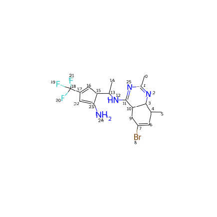 CC1=NC2C(C)C=C(Br)CC2C(NC(C)C2C=C(C(F)(F)F)C=C2N)=N1